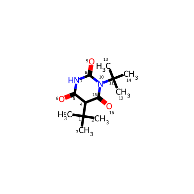 CC(C)(C)C1C(=O)NC(=O)N(C(C)(C)C)C1=O